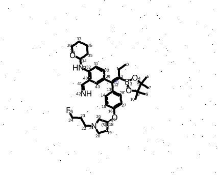 CC/C(B1OC(C)(C)C(C)(C)O1)=C(/c1ccc(O[C@H]2CCN(CCCF)C2)cc1)c1ccc(NC2CCCCO2)c(C=N)c1